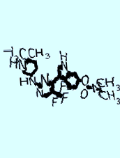 CN(C)C(=O)Oc1ccc2c(-c3nc(NC4CCC(C)(C)NC4)ncc3C(F)(F)F)c[nH]c2c1